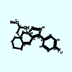 COC(O)C[C@@]12CCCCC1=Cc1c(-c3ccc(F)cc3)ncn1C2